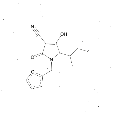 CCC(C)C1C(O)=C(C#N)C(=O)N1Cc1ccco1